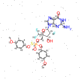 COc1ccc(OSP(=O)(OC[C@@]2(C(F)F)O[C@@H](n3cnc4c(=O)[nH]c(N)nc43)[C@H](F)[C@@H]2O)Oc2ccc(OC)cc2)cc1